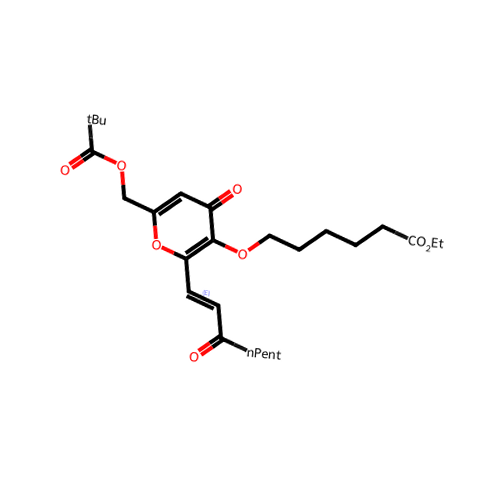 CCCCCC(=O)/C=C/c1oc(COC(=O)C(C)(C)C)cc(=O)c1OCCCCCC(=O)OCC